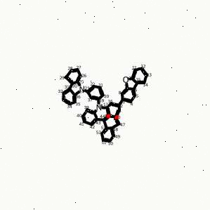 c1cc(-c2ccc3c(c2)oc2ccccc23)cc(N(c2cccc(-n3c4ccccc4c4ccccc43)c2)c2ccccc2-c2cccc3ccccc23)c1